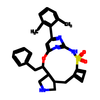 Cc1cccc(C)c1-c1cc2nc(n1)NS(=O)(=O)C1=CC=C1CC1CNCC1C(Cc1ccccc1)O2